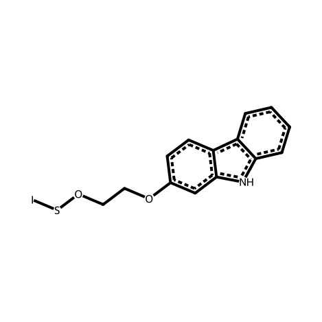 ISOCCOc1ccc2c(c1)[nH]c1ccccc12